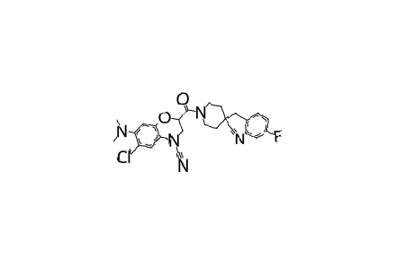 CN(C)c1cc2c(cc1Cl)N(C#N)CC(C(=O)N1CCC(C#N)(Cc3ccc(F)cc3)CC1)O2